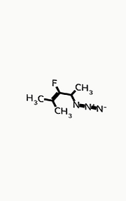 CC(C)=C(F)C(C)N=[N+]=[N-]